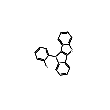 Brc1ccccc1-n1c2ccccc2c2oc3ccccc3c21